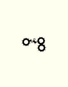 C1CCCCCCCCC1.C1CCCCCCCCC1.C=CC(=O)OCC1CCCCCCCCC1